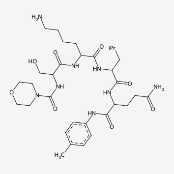 Cc1ccc(NC(=O)C(CCC(N)=O)NC(=O)C(CC(C)C)NC(=O)C(CCCCN)NC(=O)C(CO)NC(=O)N2CCOCC2)cc1